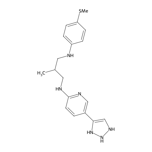 CSc1ccc(NCC(C)CNc2ccc(C3=CNNN3)cn2)cc1